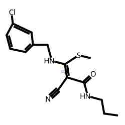 CCCNC(=O)/C(C#N)=C(/NCc1cccc(Cl)c1)SC